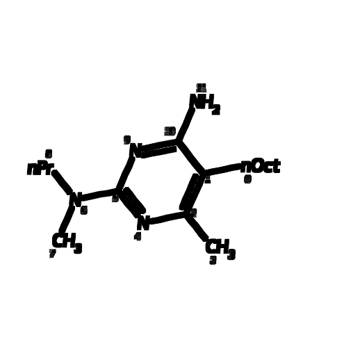 CCCCCCCCc1c(C)nc(N(C)CCC)nc1N